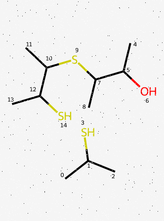 CC(C)S.CC(O)C(C)SC(C)C(C)S